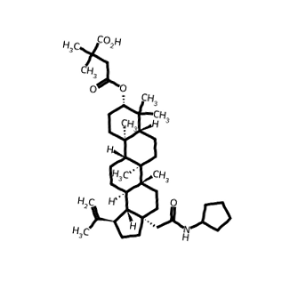 C=C(C)[C@@H]1CC[C@]2(CC(=O)NC3CCCC3)CC[C@]3(C)[C@H](CC[C@@H]4[C@@]5(C)CC[C@H](OC(=O)CC(C)(C)C(=O)O)C(C)(C)[C@@H]5CC[C@]43C)[C@@H]12